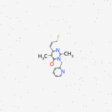 Cc1c(/C=C\CF)nc(C)n(Cc2ccccn2)c1=O